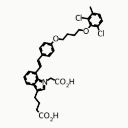 Cc1ccc(Cl)c(OCCCCOc2ccc(C=Cc3cccc4c(CCCC(=O)O)cn(CC(=O)O)c34)cc2)c1Cl